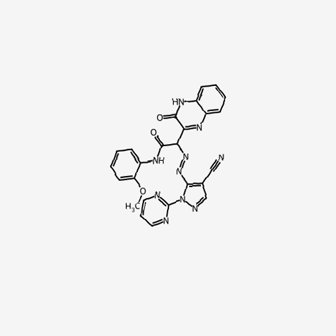 COc1ccccc1NC(=O)C(N=Nc1c(C#N)cnn1-c1ncccn1)c1nc2ccccc2[nH]c1=O